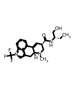 CC[C@@H](CO)NC(=O)[C@@H]1C=C2c3cccc4c3c(cn4C(F)(F)F)C[C@H]2N(C)C1